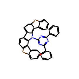 c1ccc(-c2nc(-c3ccccc3)nc(-n3c4c(ccc5sc6ccccc6c54)c4ccc5sc6ccccc6c5c43)n2)cc1